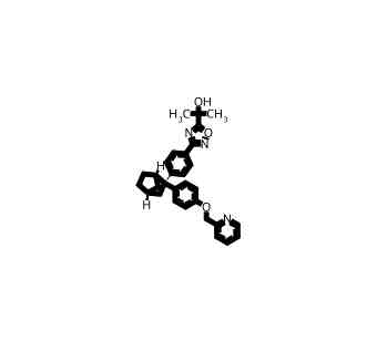 CC(C)(O)c1nc(-c2ccc([C@]3(c4ccc(OCc5ccccn5)cc4)C[C@@H]4CC[C@H]3C4)cc2)no1